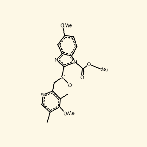 COc1ccc2c(c1)nc([S+]([O-])Cc1ncc(C)c(OC)c1C)n2C(=O)OC(C)(C)C